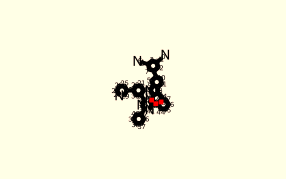 N#Cc1cc(C#N)cc(-c2ccc3c4ccccc4n(-c4ccc(-c5cccnc5)cc4-c4nc(-c5ccccc5)nc(-c5ccccc5)n4)c3c2)c1